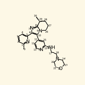 Cc1cccc(-c2nc3n(c2-c2ccnc(NCCN4CCOCC4)c2)CCC[C@@H]3C)n1